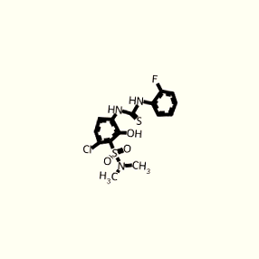 CN(C)S(=O)(=O)c1c(Cl)ccc(NC(=S)Nc2ccccc2F)c1O